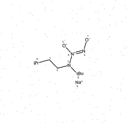 CC(C)CCN([N+]([O-])=N[O-])C(C)(C)C.[Na+]